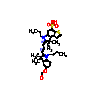 CCCC[N+]1=C(/C=C/C=C2/N(CCC)c3cc(S(=O)(=O)O)c4sccc4c3C2(C)C)C(C)(C)c2cc(OC=O)ccc21